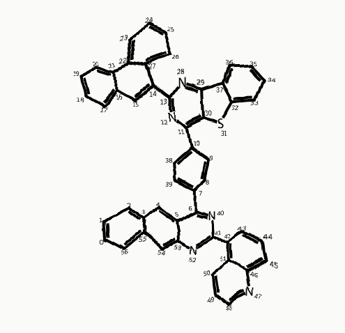 c1ccc2cc3c(-c4ccc(-c5nc(-c6cc7ccccc7c7ccccc67)nc6c5sc5ccccc56)cc4)nc(-c4cccc5ncccc45)nc3cc2c1